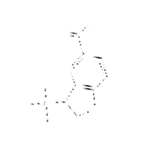 C[N+](C)(C)C1CNc2ccc([N+](=O)[O-])cc21